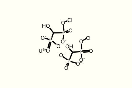 O=P([O-])([O-])C(O)P(=O)([O-])OCl.O=P([O-])([O-])C(O)P(=O)([O-])OCl.[U+6]